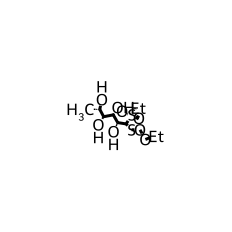 CCOOSC([C@H](O)[C@H](O)[C@@H](O)[C@H](C)O)S(=O)(=O)CC